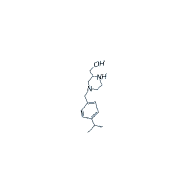 CC(C)c1ccc(CN2CCNC(CO)C2)cc1